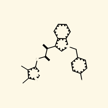 Cc1noc(NC(=O)C(=O)c2cn(Cc3ccc(F)cc3)c3ccccc23)c1C